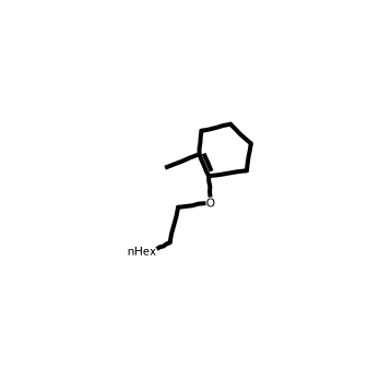 CCCCCCCCOC1=C(C)CCCC1